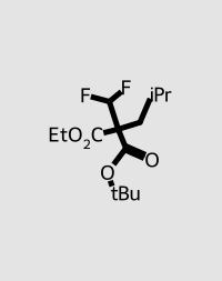 CCOC(=O)C(CC(C)C)(C(=O)OC(C)(C)C)C(F)F